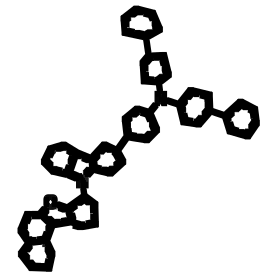 c1ccc(-c2ccc(N(c3ccc(-c4ccccc4)cc3)c3ccc(-c4ccc5c(c4)c4ccccc4n5-c4cccc5c4oc4ccc6ccccc6c45)cc3)cc2)cc1